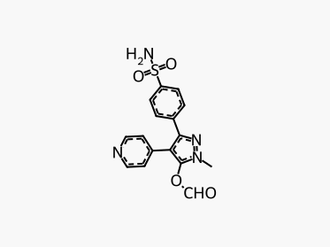 Cn1nc(-c2ccc(S(N)(=O)=O)cc2)c(-c2ccncc2)c1OC=O